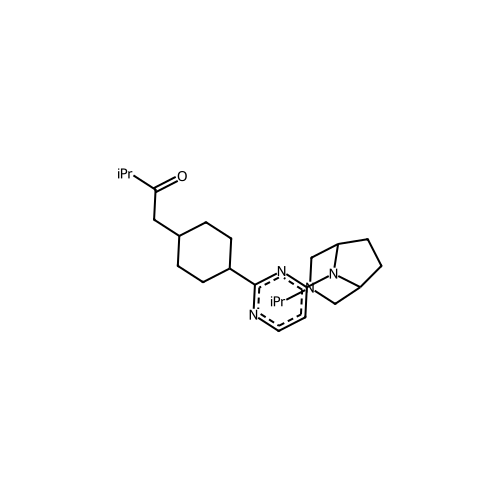 CC(C)C(=O)CC1CCC(c2nccc(N3C4CCC3CN(C(C)C)C4)n2)CC1